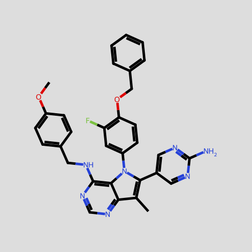 COc1ccc(CNc2ncnc3c(C)c(-c4cnc(N)nc4)n(-c4ccc(OCc5ccccc5)c(F)c4)c23)cc1